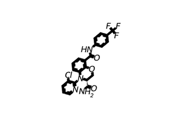 NC(=O)[C@H]1COc2c(C(=O)Nc3ccc(C(F)(F)F)cc3)cccc2N1c1ncccc1Cl